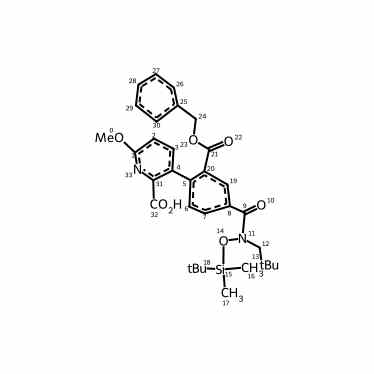 COc1ccc(-c2ccc(C(=O)N(CC(C)(C)C)O[Si](C)(C)C(C)(C)C)cc2C(=O)OCc2ccccc2)c(C(=O)O)n1